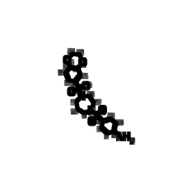 Nc1ccc(S(=O)(=O)N2CCCN(S(=O)(=O)c3ccc4c(c3)OCCO4)CC2)cc1